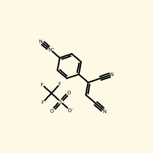 N#C/C=C(\C#N)c1ccc([N+]#N)cc1.O=S(=O)([O-])C(F)(F)F